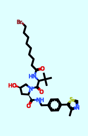 Cc1ncsc1-c1ccc(CNC(=O)[C@@H]2C[C@@H](O)CN2C(=O)[C@@H](NC(=O)CCCCCCCCBr)C(C)(C)C)cc1